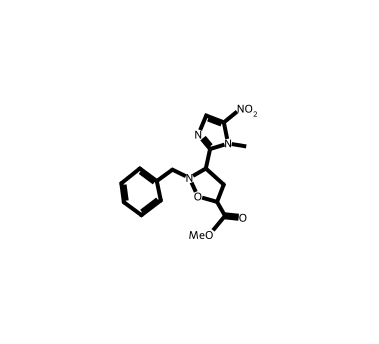 COC(=O)C1CC(c2ncc([N+](=O)[O-])n2C)N(Cc2ccccc2)O1